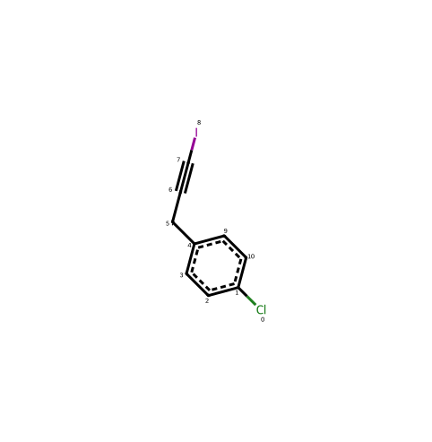 Clc1ccc([CH]C#CI)cc1